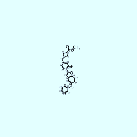 COC(=O)C1CN(Cc2ccc(-c3cc4cc(Cc5cccnc5)ccc4o3)c(F)c2)C1